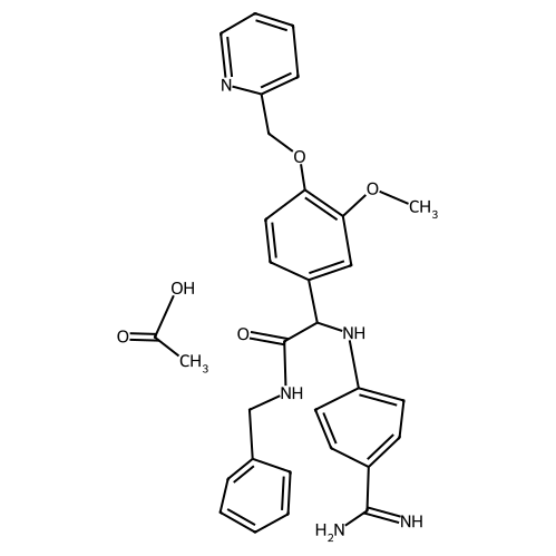 CC(=O)O.COc1cc(C(Nc2ccc(C(=N)N)cc2)C(=O)NCc2ccccc2)ccc1OCc1ccccn1